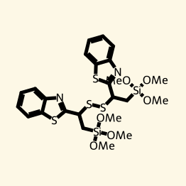 CO[Si](CC(SSC(C[Si](OC)(OC)OC)c1nc2ccccc2s1)c1nc2ccccc2s1)(OC)OC